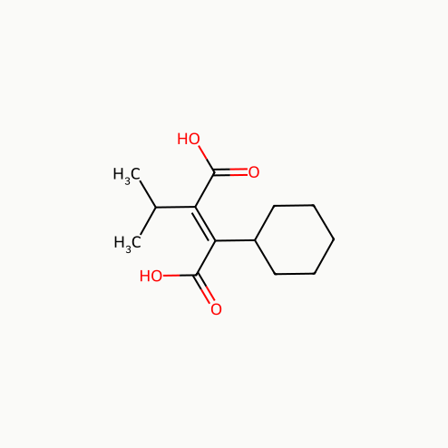 CC(C)C(C(=O)O)=C(C(=O)O)C1CCCCC1